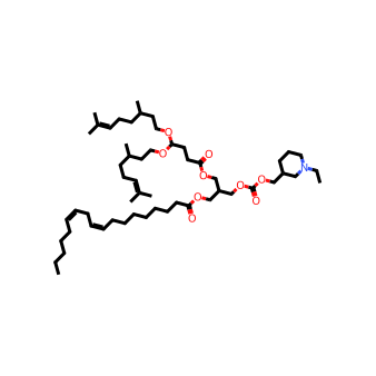 CCCCC/C=C\C/C=C\CCCCCCCC(=O)OCC(COC(=O)CCC(OCCC(C)CCC=C(C)C)OCCC(C)CCC=C(C)C)COC(=O)OCC1CCCN(CC)C1